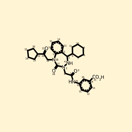 O=C(CN1NC(C2CCCCC2)c2ccccc2N(CC(=O)C2CCCC2)C1=O)Nc1cccc(C(=O)O)c1